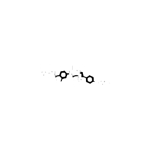 CNC(=O)c1ccc(NC(=O)c2ncc(-c3ccc(OC)cc3)n2C)cc1C